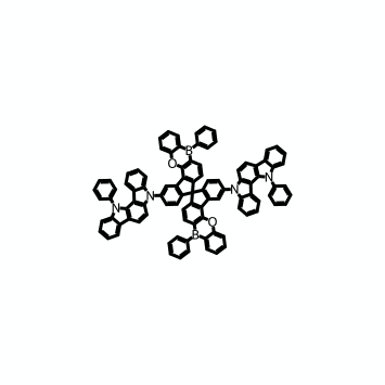 c1ccc(B2c3ccccc3Oc3c2ccc2c3-c3cc(-n4c5ccccc5c5c4ccc4c6ccccc6n(-c6ccccc6)c45)ccc3C23c2ccc(-n4c5ccccc5c5c4ccc4c6ccccc6n(-c6ccccc6)c45)cc2-c2c3ccc3c2Oc2ccccc2B3c2ccccc2)cc1